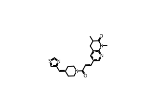 CC1Cc2cc(C=CC(=O)N3CCC(=Cc4cscn4)CC3)cnc2N(C)C1=O